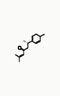 CC(C)=CC(=O)C[C@H](C)C1=CCC(C)C=C1